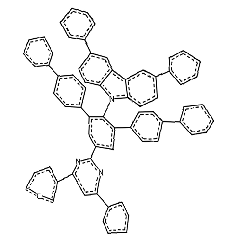 c1ccc(-c2ccc(-c3cc(-c4nc(-c5ccccc5)cc(-c5ccccc5)n4)cc(-c4ccc(-c5ccccc5)cc4)c3-n3c4ccc(-c5ccccc5)cc4c4cc(-c5ccccc5)ccc43)cc2)cc1